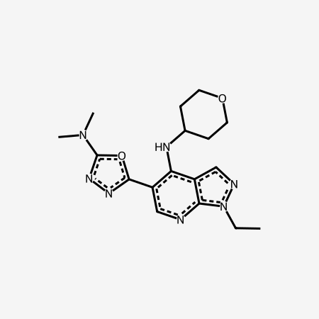 CCn1ncc2c(NC3CCOCC3)c(-c3nnc(N(C)C)o3)cnc21